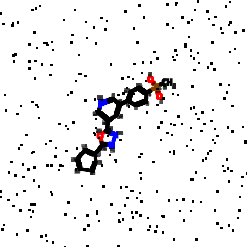 CS(=O)(=O)c1ccc(-c2cncc(-c3nnc(-c4ccccc4)o3)c2)cc1